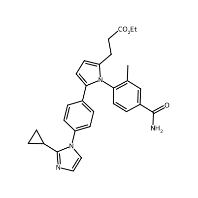 CCOC(=O)CCc1ccc(-c2ccc(-n3ccnc3C3CC3)cc2)n1-c1ccc(C(N)=O)cc1C